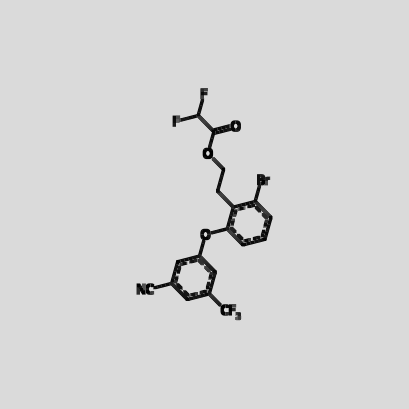 N#Cc1cc(Oc2cccc(Br)c2CCOC(=O)C(F)F)cc(C(F)(F)F)c1